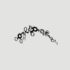 COCCNC(=O)N1CCN(c2ccc3ncn(CC(=O)NCc4ccc(Cl)c(Cl)c4)c(=O)c3c2)CC1